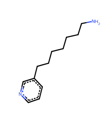 NCCCCCCCc1cccnc1